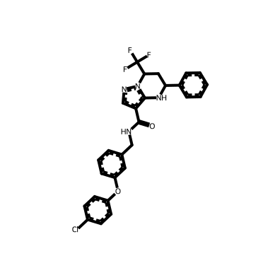 O=C(NCc1cccc(Oc2ccc(Cl)cc2)c1)c1cnn2c1NC(c1ccccc1)CC2C(F)(F)F